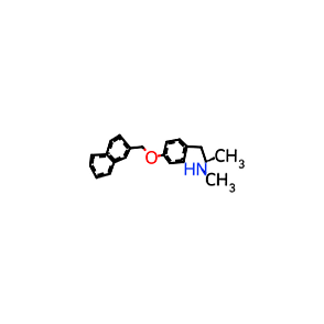 CN[C@H](C)Cc1ccc(OCc2ccc3ccccc3c2)cc1